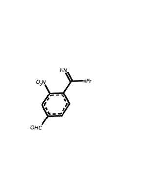 CCCC(=N)c1ccc(C=O)cc1[N+](=O)[O-]